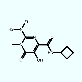 CCN(S)c1nc(C(=O)NC2CCC2)c(O)c(=O)n1C